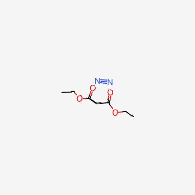 CCOC(=O)CC(=O)OCC.N#N